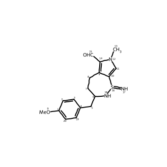 COc1ccc(CC2CCc3c(cn(C)c3C=O)S(=N)N2)cc1